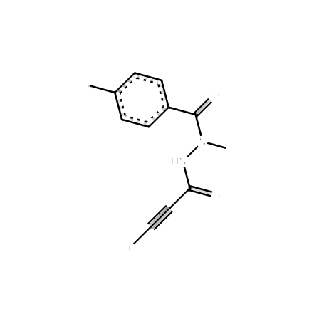 CCCC#CC(=O)NN(C(=O)c1ccc(Cl)cc1)C(C)(C)C